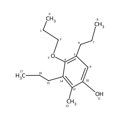 CCCOc1c(CCC)cc(O)c(C)c1CCC